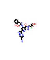 CC(C)(O)[C@H](F)CNC(=O)c1cnc(-c2cnn3cc(C#N)cnc23)cc1N[C@@H](CO)Cc1ccccc1